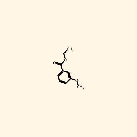 CCOC(=O)c1[c]c(OC)ccc1